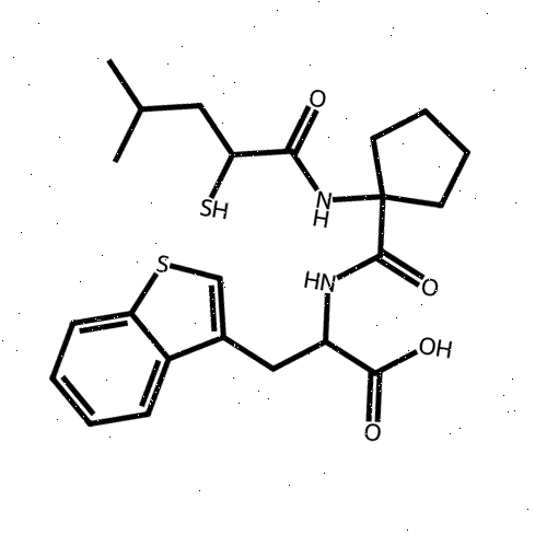 CC(C)CC(S)C(=O)NC1(C(=O)NC(Cc2csc3ccccc23)C(=O)O)CCCC1